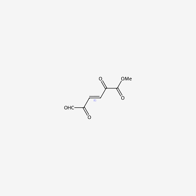 COC(=O)C(=O)/C=C/C(=O)C=O